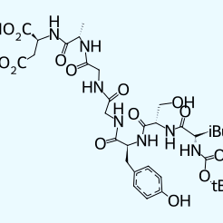 CC[C@H](C)[C@H](NC(=O)OC(C)(C)C)C(=O)N[C@@H](CO)C(=O)N[C@@H](Cc1ccc(O)cc1)C(=O)NCC(=O)NCC(=O)N[C@@H](C)C(=O)N[C@@H](CC(=O)O)C(=O)O